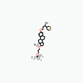 CC(C)C(CCOc1ccc2c(c1)CCC1C2CCC2(C)C(OCCCOC(C(F)(F)F)(C(F)(F)F)C(F)(F)F)CCC12)C1CCSSC1